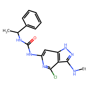 CCNc1n[nH]c2cc(NC(=O)NC(C)c3ccccc3)nc(Cl)c12